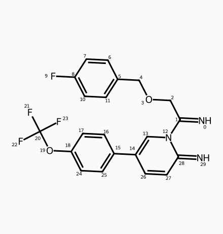 N=C(COCc1ccc(F)cc1)n1cc(-c2ccc(OC(F)(F)F)cc2)ccc1=N